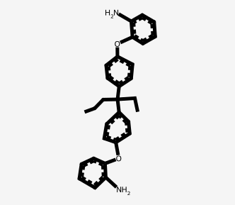 CCCC(CC)(c1ccc(Oc2ccccc2N)cc1)c1ccc(Oc2ccccc2N)cc1